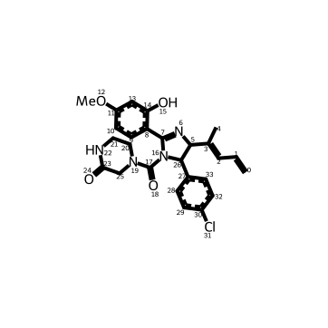 C=C/C=C(\C)C1N=C(c2ccc(OC)cc2O)N(C(=O)N2CCNC(=O)C2)C1c1ccc(Cl)cc1